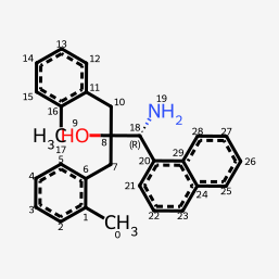 Cc1ccccc1CC(O)(Cc1ccccc1C)[C@H](N)c1cccc2ccccc12